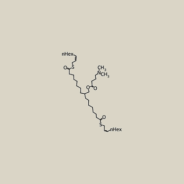 CCCCCC/C=C\CSC(=O)CCCCCCCC(CCCCCCCC(=O)SC/C=C\CCCCCC)COC(=O)CCCN(C)C